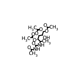 CC(=O)NC(=O)NC(C)[C@H](OC(C)=O)[C@H](OC(C)=O)[C@H](O)COC(C)=O